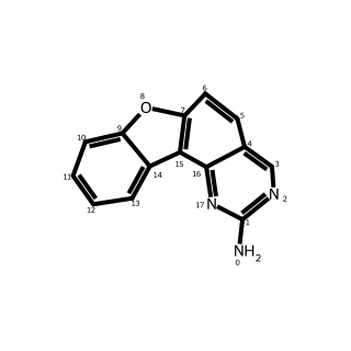 Nc1ncc2ccc3oc4ccccc4c3c2n1